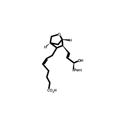 CCCCC[C@H](O)/C=C/[C@H]1C(C/C=C\CCCC(=O)O)[C@H]2CO[C@H]1C2